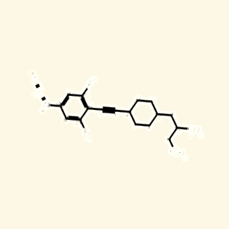 CCC(C)CC1CCC(C#Cc2c(F)cc(N=C=S)cc2F)CC1